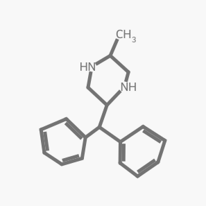 CC1CNC(C(c2ccccc2)c2ccccc2)CN1